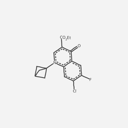 CCOC(=O)c1cn(C23CC(C2)C3)c2cc(Cl)c(F)cc2c1=O